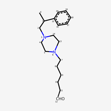 CC(CN1CCN(CCCCCC=O)CC1)c1ccccc1